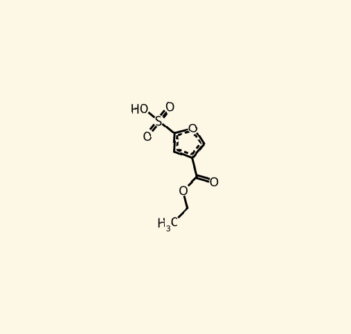 CCOC(=O)c1coc(S(=O)(=O)O)c1